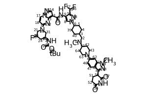 CN(CC1CCC(n2cc(NC(=O)c3cnn4ccc(N5C[C@H](F)C[C@@H](NC(=O)OC(C)(C)C)C5)nc34)c(C(F)F)n2)CC1)C1CCN(c2ccc3c(C4CCC(=O)NC4=O)nn(C)c3c2)CC1